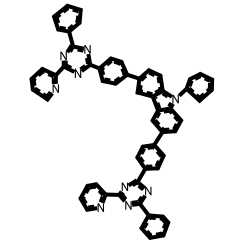 c1ccc(-c2nc(-c3ccc(-c4ccc5c(c4)c4cc(-c6ccc(-c7nc(-c8ccccc8)nc(-c8ccccn8)n7)cc6)ccc4n5-c4ccccc4)cc3)nc(-c3ccccn3)n2)cc1